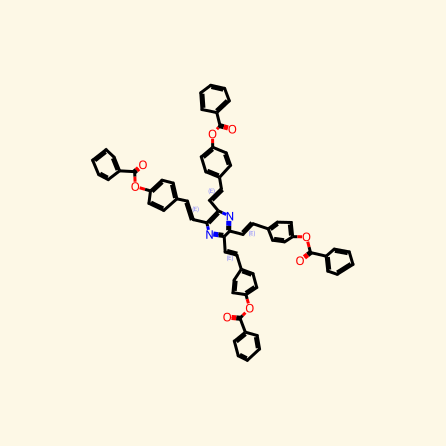 O=C(Oc1ccc(/C=C/c2nc(/C=C/c3ccc(OC(=O)c4ccccc4)cc3)c(/C=C/c3ccc(OC(=O)c4ccccc4)cc3)nc2/C=C/c2ccc(OC(=O)c3ccccc3)cc2)cc1)c1ccccc1